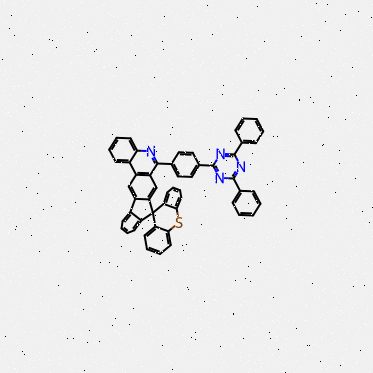 c1ccc(-c2nc(-c3ccccc3)nc(-c3ccc(-c4nc5ccccc5c5cc6c(cc45)C4(c5ccccc5Sc5ccccc54)c4ccccc4-6)cc3)n2)cc1